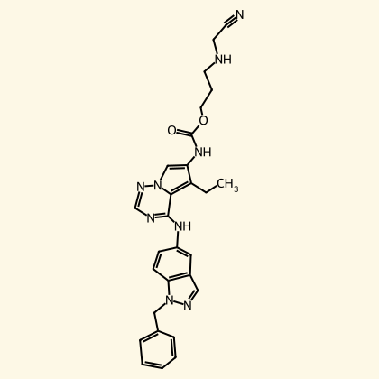 CCc1c(NC(=O)OCCCNCC#N)cn2ncnc(Nc3ccc4c(cnn4Cc4ccccc4)c3)c12